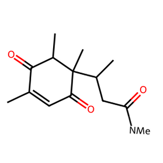 CNC(=O)CC(C)C1(C)C(=O)C=C(C)C(=O)C1C